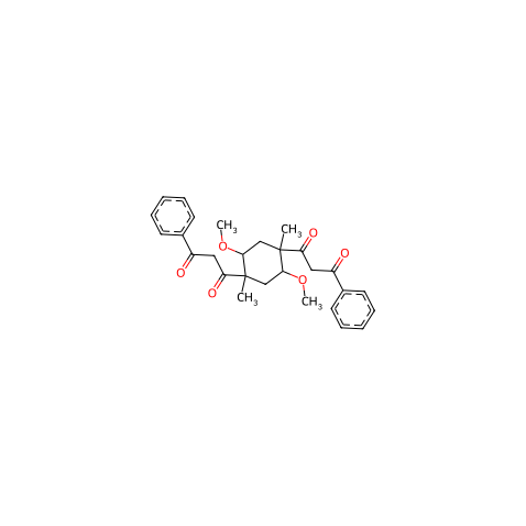 COC1CC(C)(C(=O)CC(=O)c2ccccc2)C(OC)CC1(C)C(=O)CC(=O)c1ccccc1